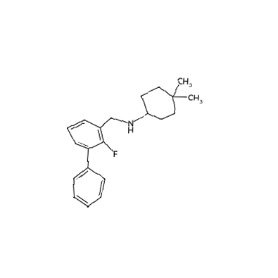 CC1(C)CCC(NCc2cccc(-c3ccccc3)c2F)CC1